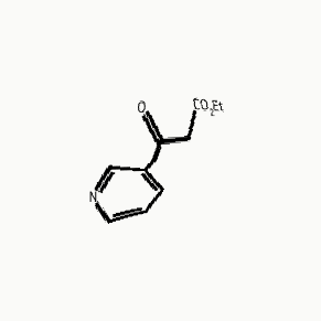 CCOC(=O)CC(=O)c1cccnc1